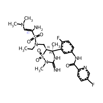 CCN(C[C@H]1[C@@](C)(c2cc(NC(=O)c3ccc(F)cn3)ccc2F)NC(=N)N(C)S1(=O)=O)S(=O)(=O)/C(N)=C/N(C)C